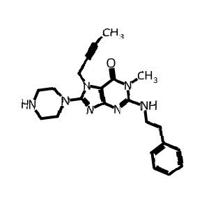 CC#CCn1c(N2CCNCC2)nc2nc(NCCc3ccccc3)n(C)c(=O)c21